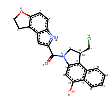 O=C(c1cc2c3c(ccc2[nH]1)OCC3)N1C[C@@H](CCl)c2c1cc(O)c1ccccc21